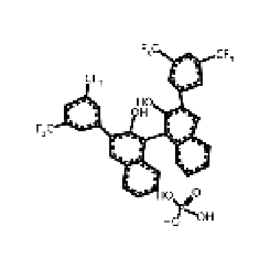 O=P(O)(O)O.Oc1c(-c2cc(C(F)(F)F)cc(C(F)(F)F)c2)cc2ccccc2c1-c1c(O)c(-c2cc(C(F)(F)F)cc(C(F)(F)F)c2)cc2ccccc12